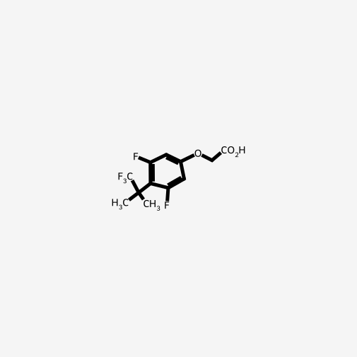 CC(C)(c1c(F)cc(OCC(=O)O)cc1F)C(F)(F)F